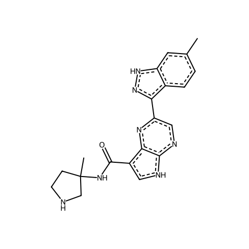 Cc1ccc2c(-c3cnc4[nH]cc(C(=O)NC5(C)CCNC5)c4n3)n[nH]c2c1